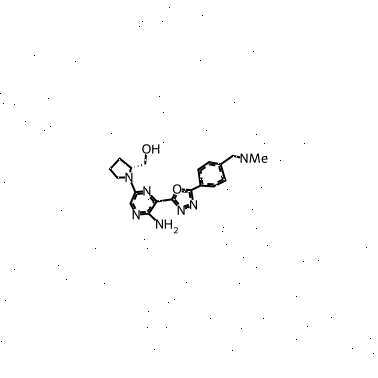 CNCc1ccc(-c2nnc(-c3nc(N4CCC[C@@H]4CO)cnc3N)o2)cc1